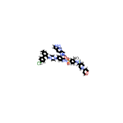 CC1(C)CCC(CN2CCN(c3ccc(C(=O)NS(=O)(=O)c4ccc(NCC5(F)CCN(C6CCOCC6)CC5)c([N+](=O)[O-])c4)c(-n4ncc5nc6[nH]ccc6cc54)c3)CC2)=C(c2ccc(Cl)cc2)C1